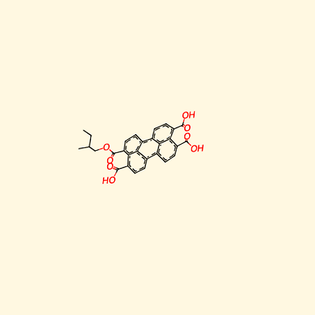 CCC(C)COC(=O)c1ccc2c3ccc(C(=O)O)c4c(C(=O)O)ccc(c5ccc(C(=O)O)c1c52)c43